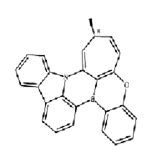 C[C@H]1C=CC2=C3B(c4ccccc4O2)c2cccc4c5ccccc5n(c24)C3=C1